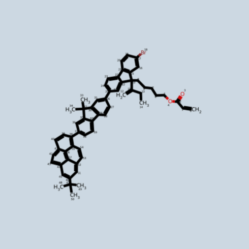 C=CC(=O)OCCCCCC1(C(=C)CC)c2cc(Br)ccc2-c2ccc(-c3ccc4c(c3)C(C)(C)c3cc(-c5ccc6ccc7cc(C(C)(C)C)cc8ccc5c6c78)ccc3-4)cc21